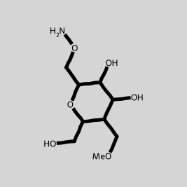 COCC1C(CO)OC(CON)C(O)C1O